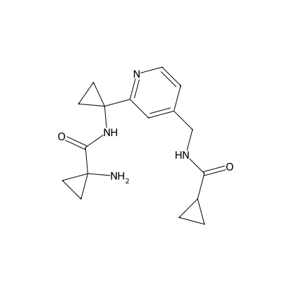 NC1(C(=O)NC2(c3cc(CNC(=O)C4CC4)ccn3)CC2)CC1